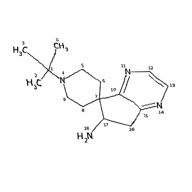 CC(C)(C)N1CCC2(CC1)c1nccnc1CC2N